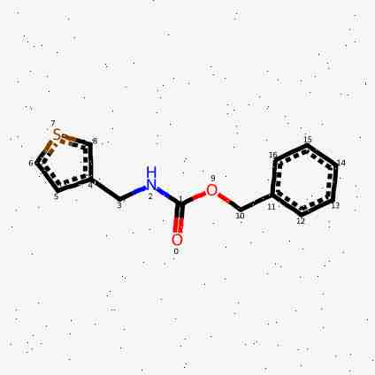 O=C(N[CH]c1ccsc1)OCc1ccccc1